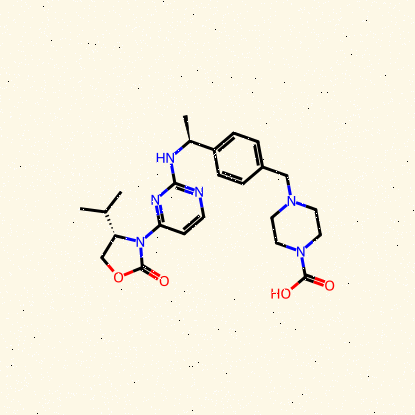 CC(C)[C@H]1COC(=O)N1c1ccnc(N[C@@H](C)c2ccc(CN3CCN(C(=O)O)CC3)cc2)n1